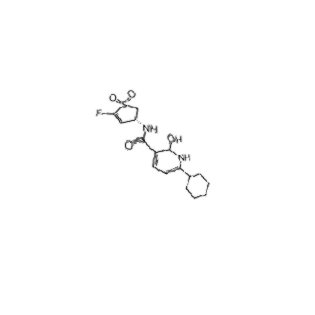 O=C(N[C@@H]1C=C(F)S(=O)(=O)C1)C1=CC=C(C2CCCCC2)NC1O